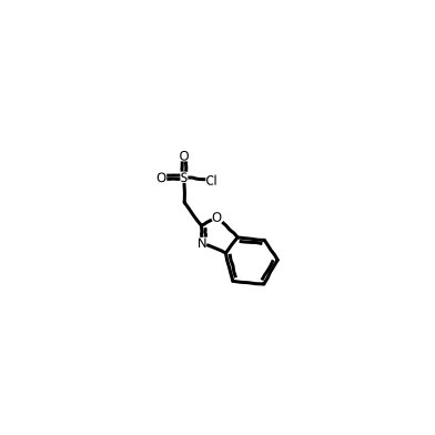 O=S(=O)(Cl)Cc1nc2ccccc2o1